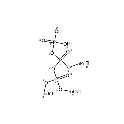 CCCCCCCCOP(=O)(OCCCCCCCC)OP(=O)(OC(C)C)OP(=O)(O)O.[Ti]